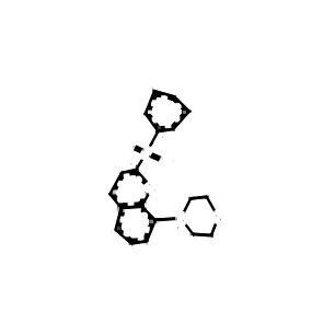 Cl.O=S(=O)(c1ccccc1)c1ccc2cccc(N3CCNCC3)c2n1